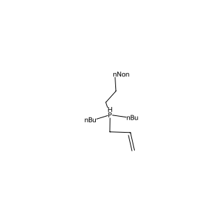 C=CC[PH](CCCC)(CCCC)CCCCCCCCCCC